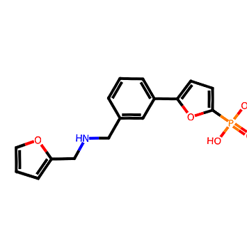 O=P(O)(O)c1ccc(-c2cccc(CNCc3ccco3)c2)o1